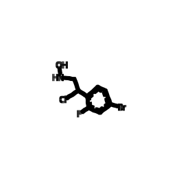 ONCC(Cl)c1ccc(Br)cc1F